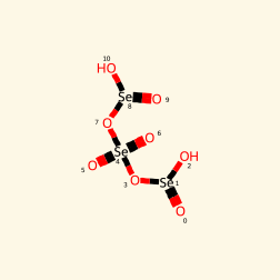 O=[Se](O)O[Se](=O)(=O)O[Se](=O)O